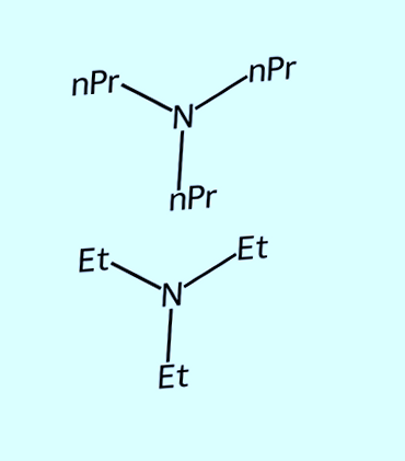 CCCN(CCC)CCC.CCN(CC)CC